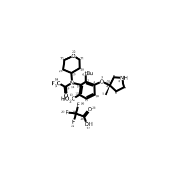 CC(C)(C)c1c(O[C@@]2(C)CCNC2)ccc(C(=O)O)c1N(C(=O)C(F)(F)F)C1CCOCC1.O=C(O)C(F)(F)F